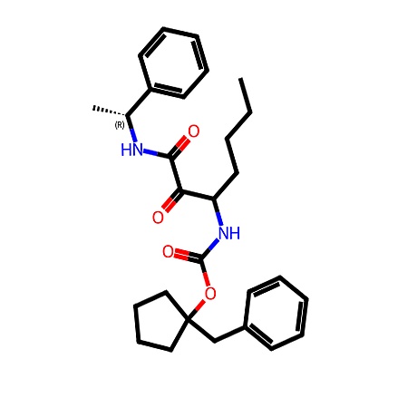 CCCCC(NC(=O)OC1(Cc2ccccc2)CCCC1)C(=O)C(=O)N[C@H](C)c1ccccc1